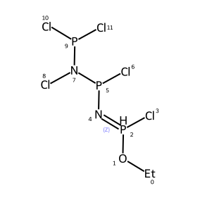 CCO/[PH](Cl)=N/P(Cl)N(Cl)P(Cl)Cl